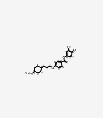 CCCCCC1CCC(CCCOc2ccc(C(=O)Oc3ccc(CC)c(F)c3)cc2)CC1